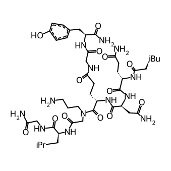 CC[C@H](C)CC(=O)N[C@@H](CCC(N)=O)C(=O)N[C@@H](CC(N)=O)C(=O)N[C@@H](CCC(=O)NCC(=O)N[C@@H](Cc1ccc(O)cc1)C(N)=O)C(=O)N(CCCN)CC(=O)N[C@@H](CC(C)C)C(=O)NCC(N)=O